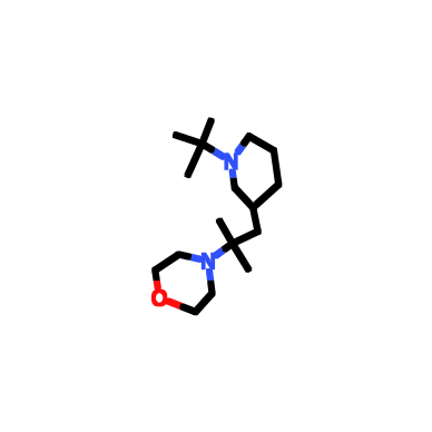 CC(C)(C)N1CCCC(CC(C)(C)N2CCOCC2)C1